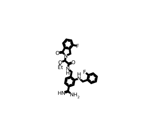 CCOC(C(=O)NCc1ccc(C(=N)N)cc1NCc1ccccc1F)N1Cc2c(F)cccc2C1=O